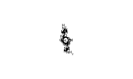 Nc1ncnc2c1ncn2[C@@H]1O[C@@H]2CO[PH](=O)OC3=C(CO[PH](=O)O[C@H]2[C@H]1F)O[C@@H](n1cnc2c(N)ncnc21)[C@@H]3F